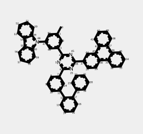 Cc1cc(-c2nc(-c3cccc(-c4ccccc4-c4ccccc4)c3)nc(-c3ccc4c5ccccc5c5ccccc5c4c3)n2)cc(-n2c3ccccc3c3ccccc32)c1